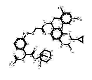 O=C(CONc1cccc(C(OC(=O)C(F)(F)F)C(=O)O[C@H]2CN3CCC2CC3)c1)O[C@@H](Cc1c(Cl)c[n+]([O-])cc1Cl)c1ccc(OC(F)F)c(OCC2CC2)c1